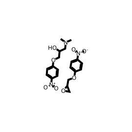 CN(C)CC(O)COc1ccc([N+](=O)[O-])cc1.O=[N+]([O-])c1ccc(OCC2CO2)cc1